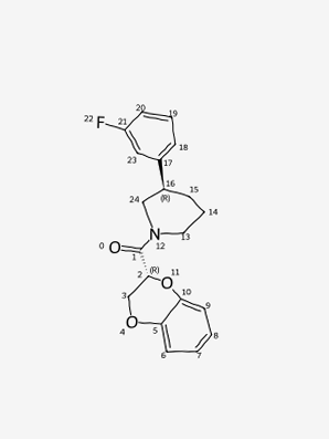 O=C([C@H]1COc2ccccc2O1)N1CCC[C@H](c2cccc(F)c2)C1